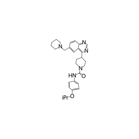 CC(C)Oc1ccc(NC(=O)N2CCC(c3ncnc4ccc(CN5CCCCC5)cc34)CC2)cc1